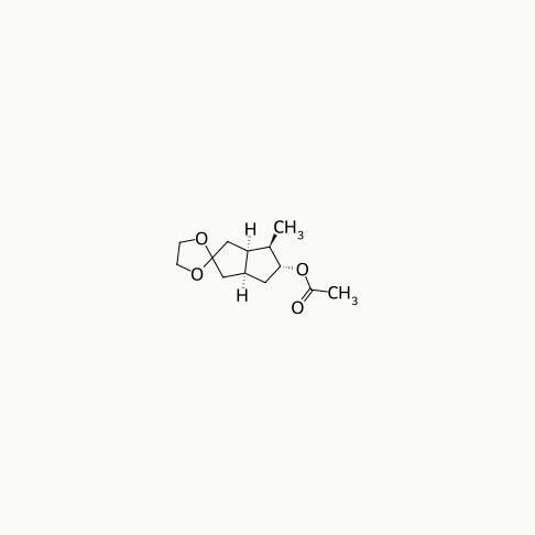 CC(=O)O[C@@H]1C[C@H]2CC3(C[C@H]2[C@H]1C)OCCO3